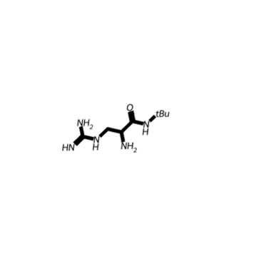 CC(C)(C)NC(=O)C(N)CNC(=N)N